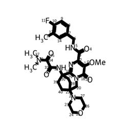 COc1c(C(=O)NCc2ccc(F)c(C)c2)nc2n(c1=O)CC1(N3CCOCC3)CCC2(NC(=O)C(=O)N(C)C)CC1